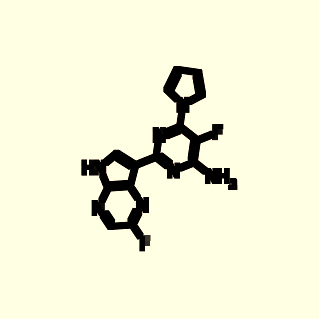 Nc1nc(-c2c[nH]c3ncc(F)nc23)nc(-n2cccc2)c1F